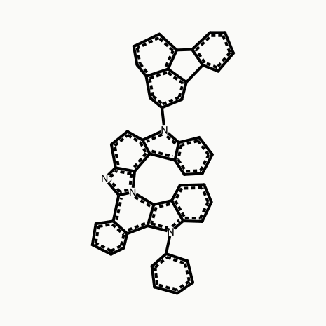 c1ccc(-n2c3ccccc3c3c2c2ccccc2c2nc4ccc5c(c6ccccc6n5-c5cc6c7c(cccc7c5)-c5ccccc5-6)c4n23)cc1